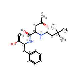 C=C(O)C(Cc1ccccc1)NC(=O)C(CC(C)=O)NCCC(C)(C)C